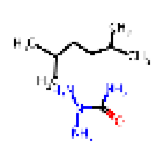 CC(C)CCC(C)C.NC(=O)N(N)N